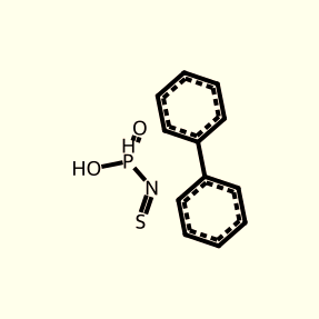 O=[PH](O)N=S.c1ccc(-c2ccccc2)cc1